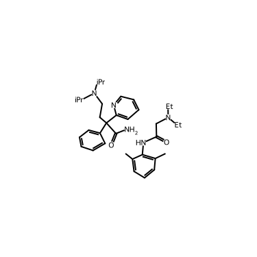 CC(C)N(CCC(C(N)=O)(c1ccccc1)c1ccccn1)C(C)C.CCN(CC)CC(=O)Nc1c(C)cccc1C